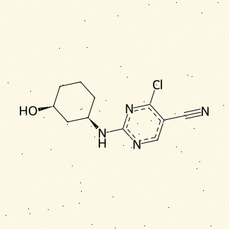 N#Cc1cnc(N[C@@H]2CCC[C@H](O)C2)nc1Cl